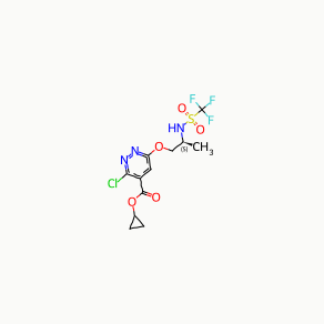 C[C@@H](COc1cc(C(=O)OC2CC2)c(Cl)nn1)NS(=O)(=O)C(F)(F)F